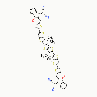 CC1(C)c2c(sc3cc(-c4ccc(/C=C5\C(=O)c6ccccc6C5=C(C#N)C#N)s4)sc23)-c2sc3c4c(sc3c21)-c1sc2cc(-c3ccc(/C=C5\C(=O)c6ccccc6C5=C(C#N)C#N)s3)sc2c1C4(C)C